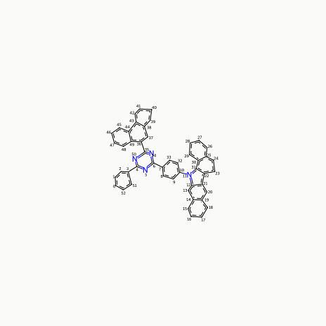 c1ccc(-c2nc(-c3ccc(-n4c5cc6ccccc6cc5c5ccc6ccccc6c54)cc3)nc(-c3cc4ccccc4c4ccccc34)n2)cc1